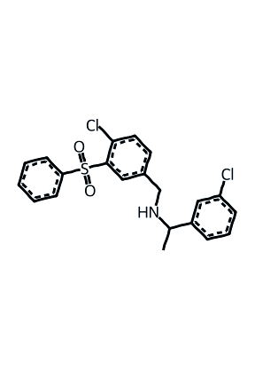 CC(NCc1ccc(Cl)c(S(=O)(=O)c2ccccc2)c1)c1cccc(Cl)c1